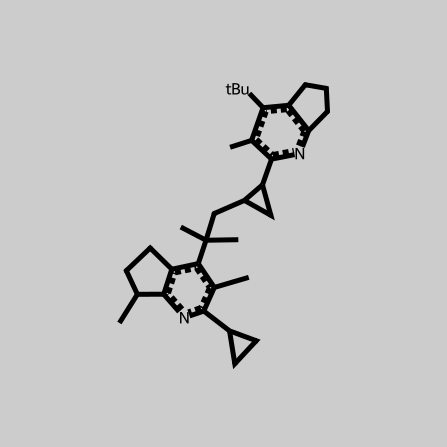 Cc1c(C2CC2CC(C)(C)c2c(C)c(C3CC3)nc3c2CCC3C)nc2c(c1C(C)(C)C)CCC2